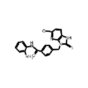 Nc1ccccc1NC(=O)c1ccc(Cn2c(=S)[nH]c3ccc(Cl)nc32)cc1